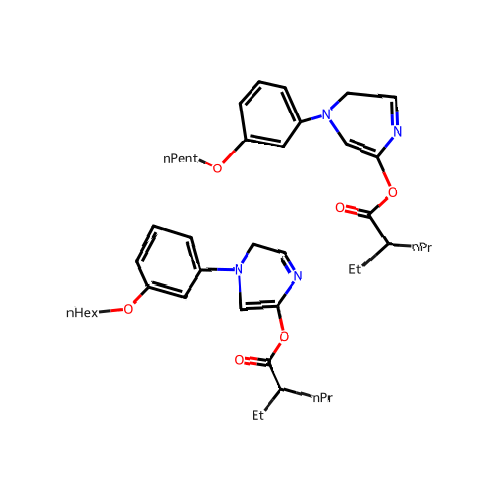 CCCCCCOc1cccc(N2C=C(OC(=O)C(CC)CCC)N=CC2)c1.CCCCCOc1cccc(N2C=C(OC(=O)C(CC)CCC)N=CC2)c1